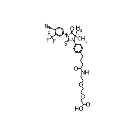 CC1(C)C(=O)N(c2ccc(C#N)c(C(F)(F)F)c2)C(=S)N1c1ccc(CCCC(=O)NCCOCCOCC(=O)O)cc1